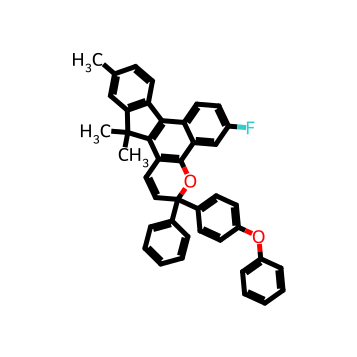 Cc1ccc2c(c1)C(C)(C)c1c3c(c4cc(F)ccc4c1-2)OC(c1ccccc1)(c1ccc(Oc2ccccc2)cc1)C=C3